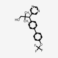 CC(C)(CO)C(c1ccc(-c2ccc(OC(F)(F)F)cc2)cc1)c1cncnc1